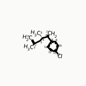 C=C(C)C[C@H](C)C(=C)c1ccc(Cl)cc1